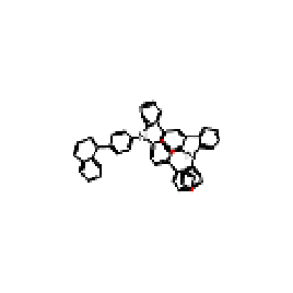 c1ccc(-c2ccc(N(c3ccc(-c4cccc5ccccc45)cc3)c3ccccc3-c3ccc4c(c3)c3ccccc3n4-c3ccccc3)cc2)cc1